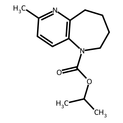 Cc1ccc2c(n1)CCCCN2C(=O)OC(C)C